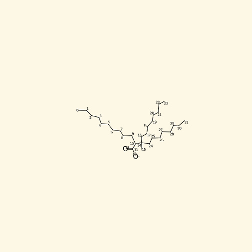 CCCCCCCCCCC(C([O])=O)C(C)(CCCCCCCC)CCCCCCCC